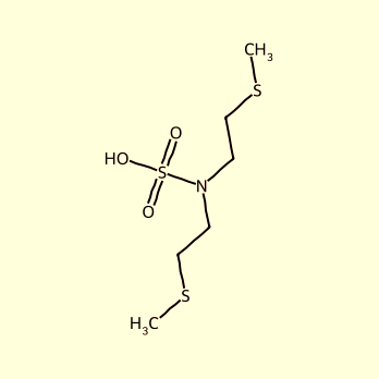 CSCCN(CCSC)S(=O)(=O)O